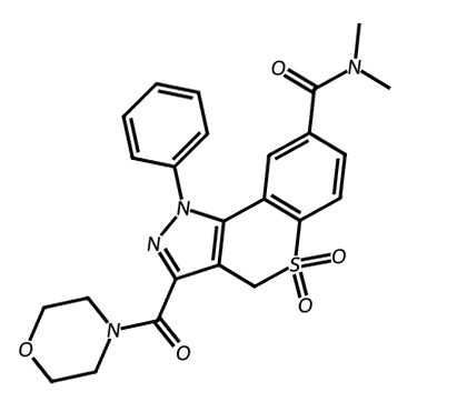 CN(C)C(=O)c1ccc2c(c1)-c1c(c(C(=O)N3CCOCC3)nn1-c1ccccc1)CS2(=O)=O